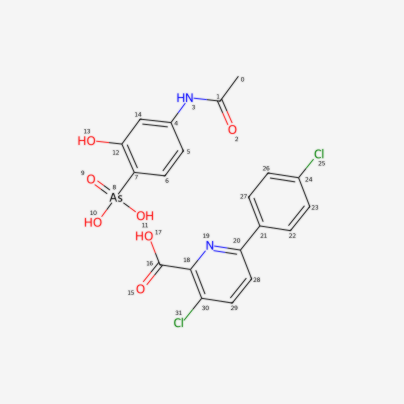 CC(=O)Nc1ccc([As](=O)(O)O)c(O)c1.O=C(O)c1nc(-c2ccc(Cl)cc2)ccc1Cl